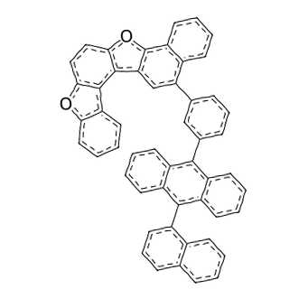 c1cc(-c2c3ccccc3c(-c3cccc4ccccc34)c3ccccc23)cc(-c2cc3c(oc4ccc5oc6ccccc6c5c43)c3ccccc23)c1